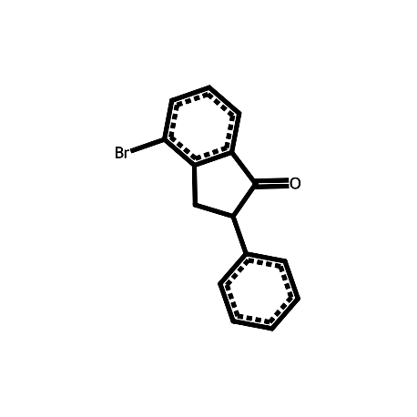 O=C1c2cccc(Br)c2CC1c1ccccc1